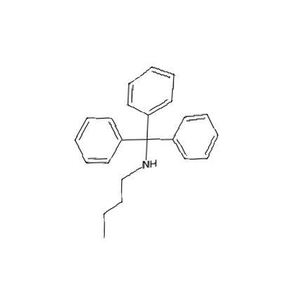 CCCCNC(c1ccccc1)(c1ccccc1)c1ccccc1